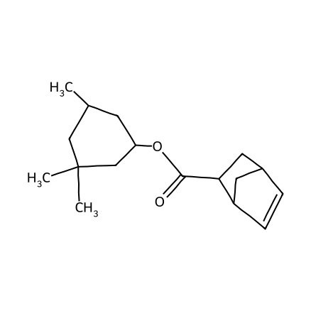 CC1CC(OC(=O)C2CC3C=CC2C3)CC(C)(C)C1